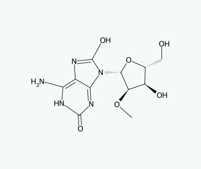 CO[C@@H]1[C@H](O)[C@@H](CO)O[C@H]1n1c(O)nc2c(N)[nH]c(=O)nc21